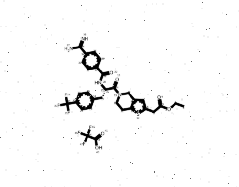 CCOC(=O)Cc1cc2c(s1)CCN(C(=O)[C@H](Cc1ccc(C(F)(F)F)cc1)NC(=O)c1ccc(C(=N)N)cc1)C2.O=C(O)C(F)(F)F